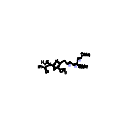 CO/C=C/C(=C\C=C\Cc1nc(N(C)C(=O)C(C)C)sc1C)OC